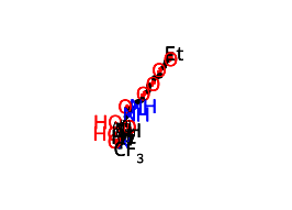 CCOCCOCCOCCOCCNC(=O)NC[C@H]1O[C@@H]2CCN(C(=O)C(F)(F)F)[C@@H]2[C@@H](O)[C@H]1O